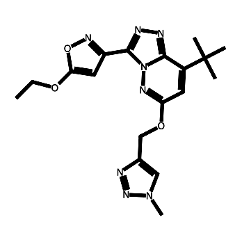 CCOc1cc(-c2nnc3c(C(C)(C)C)cc(OCc4cn(C)nn4)nn23)no1